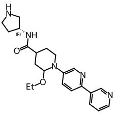 CCOC1CC(C(=O)N[C@@H]2CCNC2)CCN1c1ccc(-c2cccnc2)nc1